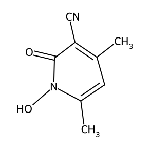 Cc1cc(C)n(O)c(=O)c1C#N